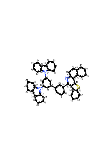 c1cc(-c2cc(-n3c4ccccc4c4ccccc43)cc(-n3c4ccccc4c4ccccc43)c2)cc(-c2nc3ccc4ccccc4c3c3sc4ccccc4c23)c1